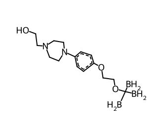 BC(B)(B)OCCOc1ccc(N2CCN(CCO)CC2)cc1